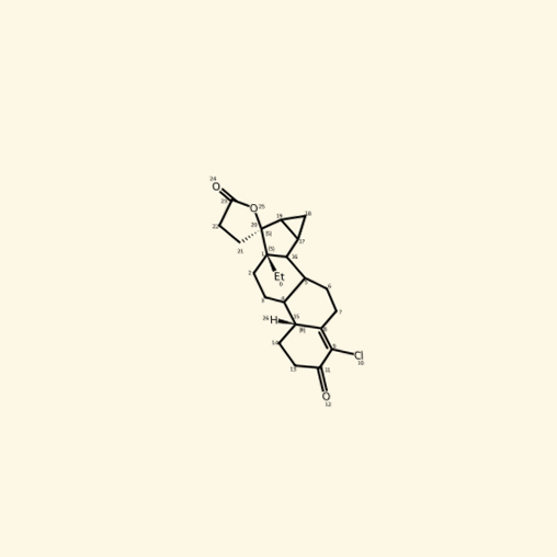 CC[C@]12CCC3C(CCC4=C(Cl)C(=O)CC[C@@H]43)C1C1CC1[C@@]21CCC(=O)O1